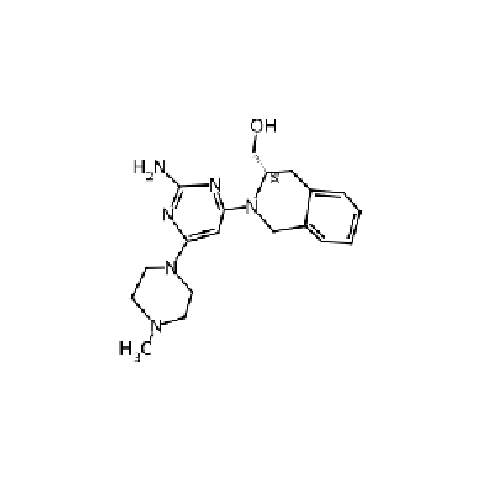 CN1CCN(c2cc(N3Cc4ccccc4C[C@H]3CO)nc(N)n2)CC1